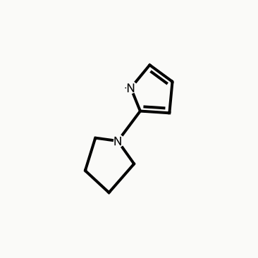 C1=C[N]C(N2CCCC2)=C1